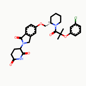 CC(C)(Oc1cccc(Cl)c1)C(=O)N1CCCC[C@H]1COc1ccc2c(c1)CN(C1CCC(=O)NC1=O)C2=O